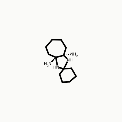 N[C@@]12CCCCC[C@@]1(N)NC1(CCCCC1)N2